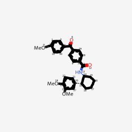 COc1ccc(C(=O)c2ccc(C(=O)N[C@@H]3CCCC[C@@H]3c3ccc(OC)c(OC)c3)cc2)cc1